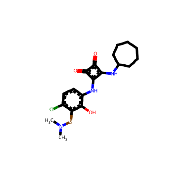 CN(C)Sc1c(Cl)ccc(Nc2c(NC3CCCCCC3)c(=O)c2=O)c1O